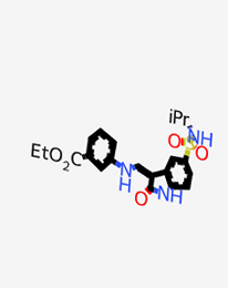 CCOC(=O)c1cccc(NC=C2C(=O)Nc3ccc(S(=O)(=O)NC(C)C)cc32)c1